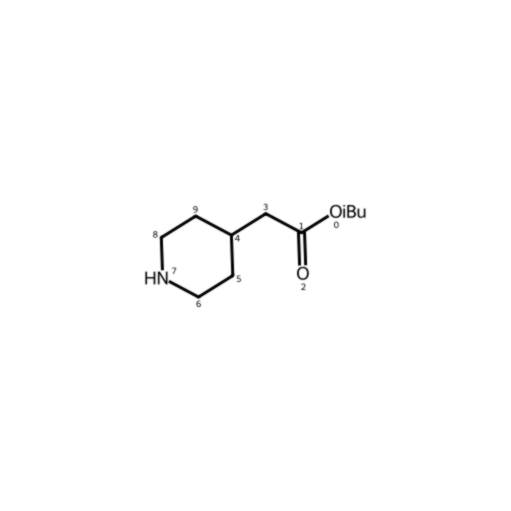 CC(C)COC(=O)CC1CCNCC1